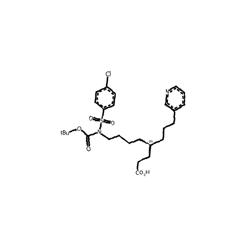 CC(C)(C)OC(=O)N(CCCC[C@@H](CCCc1cccnc1)CCC(=O)O)S(=O)(=O)c1ccc(Cl)cc1